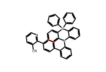 N#Cc1cccnc1-c1ccc(-c2ccccc2N2c3ccccc3[Si](c3ccccc3)(c3ccccc3)c3ccccc32)cc1